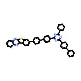 c1ccc(-c2ccc(-c3nc(-c4ccccc4)nc(-c4ccc(-c5ccc(-c6ccc7c(c6)sc6nc8ccccc8nc67)cc5)cc4)n3)cc2)cc1